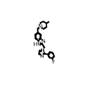 CC1CCN(Cc2ccc3[nH]c(Cn4ccnc4-c4cccc(F)c4)nc3c2)CC1